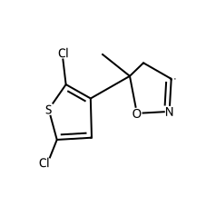 CC1(c2cc(Cl)sc2Cl)C[C]=NO1